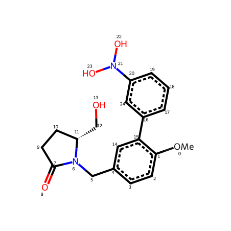 COc1ccc(CN2C(=O)CC[C@@H]2CO)cc1-c1cccc(N(O)O)c1